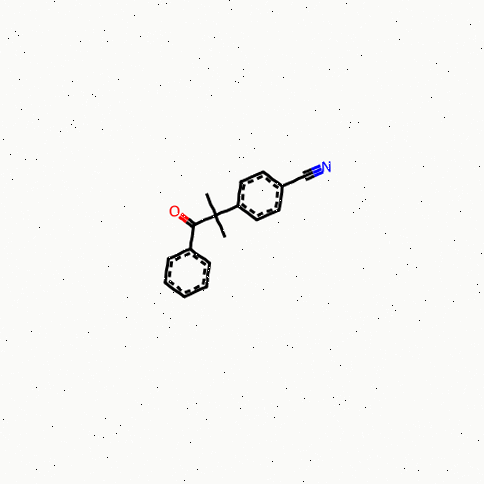 CC(C)(C(=O)c1ccccc1)c1ccc(C#N)cc1